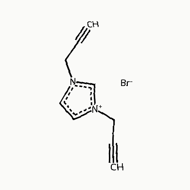 C#CCn1cc[n+](CC#C)c1.[Br-]